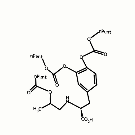 CCCCCOC(=O)Oc1ccc(C[C@H](NCC(C)OC(=O)CCCCC)C(=O)O)cc1OC(=O)OCCCCC